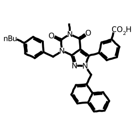 CCCCc1ccc(Cn2c(=O)n(C)c(=O)c3c(-c4cccc(C(=O)O)c4)n(Cc4cccc5ccccc45)nc32)cc1